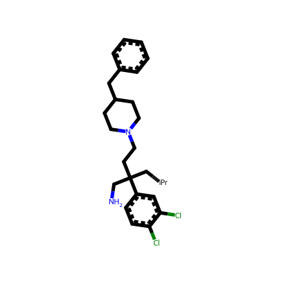 CC(C)CC(CN)(CCN1CCC(Cc2ccccc2)CC1)c1ccc(Cl)c(Cl)c1